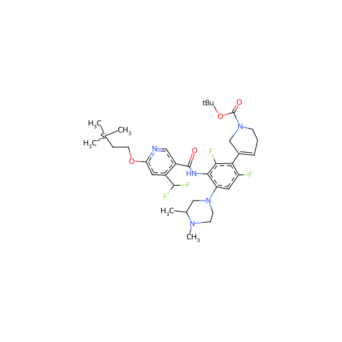 CC1CN(c2cc(F)c(C3=CCCN(C(=O)OC(C)(C)C)C3)c(F)c2NC(=O)c2cnc(OCC[Si](C)(C)C)cc2C(F)F)CCN1C